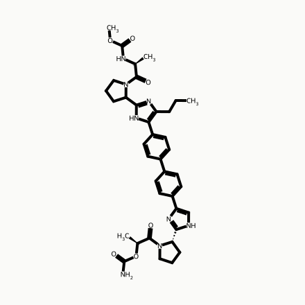 CCCc1nc(C2CCCN2C(=O)[C@H](C)NC(=O)OC)[nH]c1-c1ccc(-c2ccc(-c3c[nH]c([C@@H]4CCCN4C(=O)[C@H](C)OC(N)=O)n3)cc2)cc1